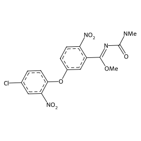 CNC(=O)N=C(OC)c1cc(Oc2ccc(Cl)cc2[N+](=O)[O-])ccc1[N+](=O)[O-]